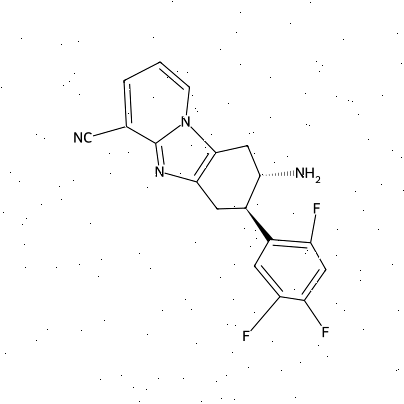 N#Cc1cccn2c3c(nc12)C[C@H](c1cc(F)c(F)cc1F)[C@@H](N)C3